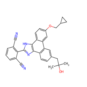 CC(C)(O)Cc1ccc2c(c1)c1cc(OCC3CC3)ccc1c1[nH]c(-c3c(C#N)cccc3C#N)nc21